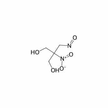 O=NCC(CO)(CO)[N+](=O)[O-]